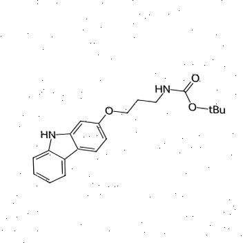 CC(C)(C)OC(=O)NCCCOc1ccc2c(c1)[nH]c1ccccc12